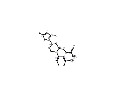 C/C=C(\C=C(/C)O)N1CCN(c2sc(C)nc2C)CC1CCC(N)=O